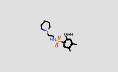 COc1cc(C)c(C)cc1S(=O)(=O)NCCN1CCCCC1